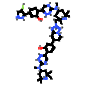 CN(c1ncc(-c2ccc(-c3ccn4n[n+](CC5(C)CC(N(C)c6ncc(-c7ccc(-c8n[nH]cc8F)cc7O)nn6)CC(C)(C)N5)nc4c3)cc2O)nn1)C1CC(C)(C)NC(C)(C)C1